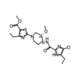 CCc1nc(N2CC[C@@H](NC(=O)c3nc(Cl)c(CC)[nH]3)[C@@H](OC)C2)sc1C(=O)OC